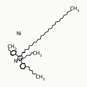 CCCCCCCCCCCCCCCCCCCCCCCCCC=CC1=C(c2ccc(CC)cc2)[N+](=[N-])C(c2cccc(CCCCCC)c2)=C1CCCCC.[Ni]